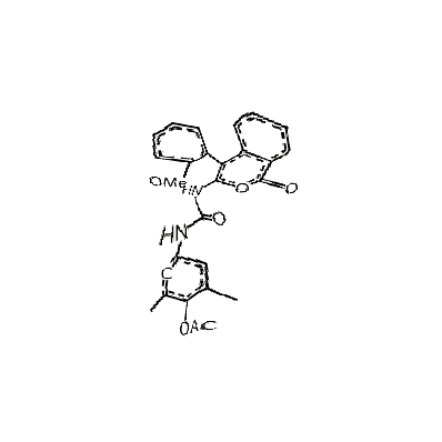 COc1ccccc1-c1c(NC(=O)Nc2cc(C)c(OC(C)=O)c(C)c2)oc(=O)c2ccccc12